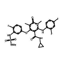 CNS(=O)(=O)Nc1cc(Oc2c(C(=O)NC3CC3)c(Nc3ccc(I)cc3F)n(C)c(=O)c2C)ccc1F